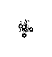 CC(=O)O[C@H](C)[C@]1(OB(O)c2ccccc2)CC2=C(C(=O)C=CC2=O)[C@@H](OB(O)c2ccccc2)C1